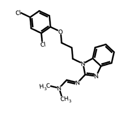 CN(C)/C=N/c1nc2ccccc2n1CCCOc1ccc(Cl)cc1Cl